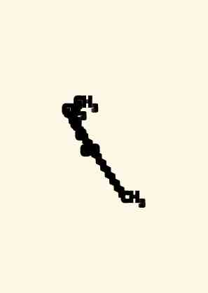 CCCCCCCCCCCCCCOC(=O)CCCOCCOCC(CC)CCCC